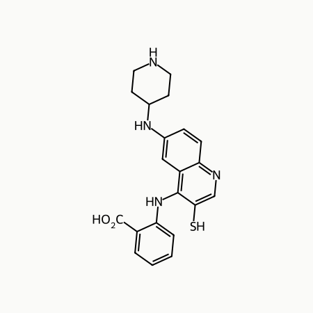 O=C(O)c1ccccc1Nc1c(S)cnc2ccc(NC3CCNCC3)cc12